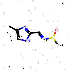 Cc1c[nH]c(/C=N/[S+]([O-])C(C)(C)C)n1